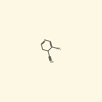 C#CC1CC=NC=C1N